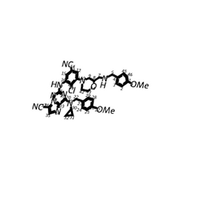 COc1ccc(CNCC2CN(c3cc(C#N)cc(Nc4nc(N(Cc5ccc(OC)cc5)C5CC5)c5ncc(C#N)n5n4)c3Cl)CCO2)cc1